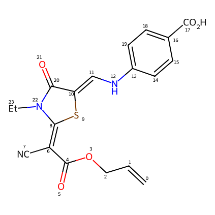 C=CCOC(=O)C(C#N)=c1sc(=CNc2ccc(C(=O)O)cc2)c(=O)n1CC